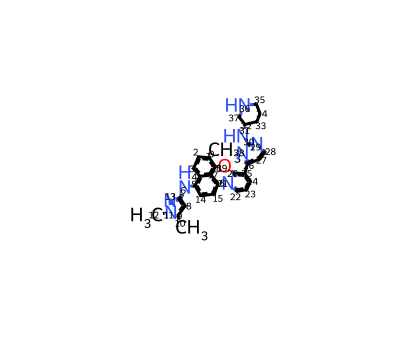 Cc1ccc2c(Nc3cc(C)n(C)n3)cccc2c1Oc1ncccc1-c1ccnc(N[C@H]2CCCNC2)n1